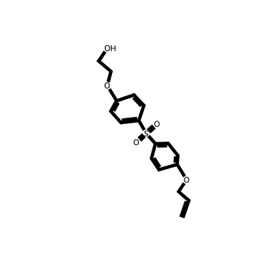 C=CCOc1ccc(S(=O)(=O)c2ccc(OCCO)cc2)cc1